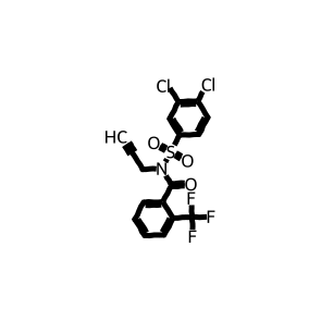 C#CCN(C(=O)c1ccccc1C(F)(F)F)S(=O)(=O)c1ccc(Cl)c(Cl)c1